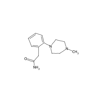 CN1CCN(c2ccccc2CC(N)=O)CC1